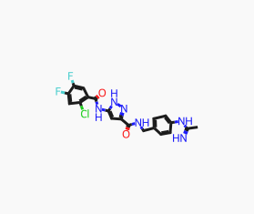 CC(=N)Nc1ccc(CNC(=O)c2cc(NC(=O)c3cc(F)c(F)cc3Cl)[nH]n2)cc1